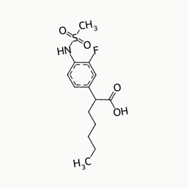 CCCCCC(C(=O)O)c1ccc(NS(C)(=O)=O)c(F)c1